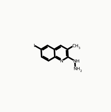 Cc1cc2cc(I)ccc2nc1NN